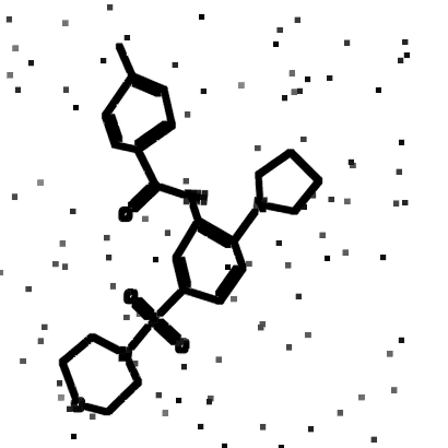 Cc1ccc(C(=O)Nc2cc(S(=O)(=O)N3CCOCC3)ccc2N2CCCC2)cc1